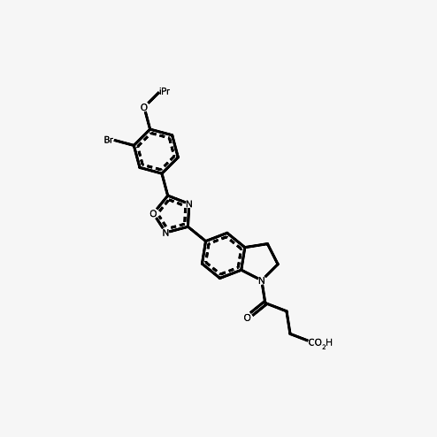 CC(C)Oc1ccc(-c2nc(-c3ccc4c(c3)CCN4C(=O)CCC(=O)O)no2)cc1Br